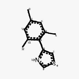 Cc1cc(C)c(-c2cs[c]n2)c(C)c1